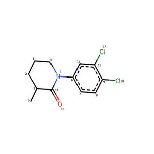 CC1CCCN(c2ccc(Cl)c(Cl)c2)C1=O